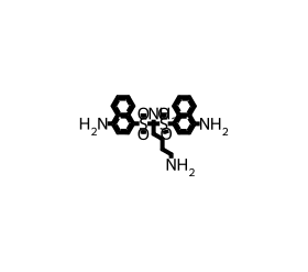 NCCCCC(N)(S(=O)(=O)c1ccc(N)c2ccccc12)S(=O)(=O)c1ccc(N)c2ccccc12